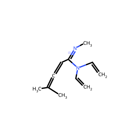 C=CN(C=C)/C(C=C=C(C)C)=N\C